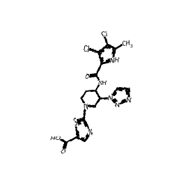 Cc1[nH]c(C(=O)NC2CCN(c3ncc(C(=O)O)s3)CC2n2ccnn2)c(Cl)c1Cl